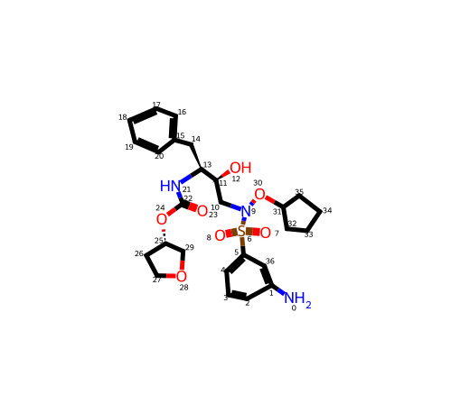 Nc1cccc(S(=O)(=O)N(C[C@H](O)[C@H](Cc2ccccc2)NC(=O)O[C@H]2CCOC2)OC2CCCC2)c1